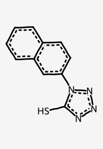 Sc1nnnn1-c1ccc2ccccc2c1